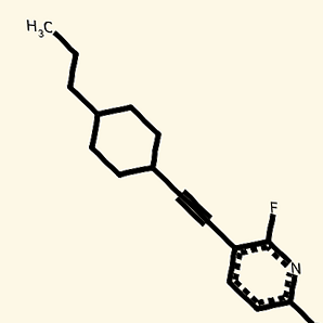 CCCC1CCC(C#Cc2ccc(F)nc2F)CC1